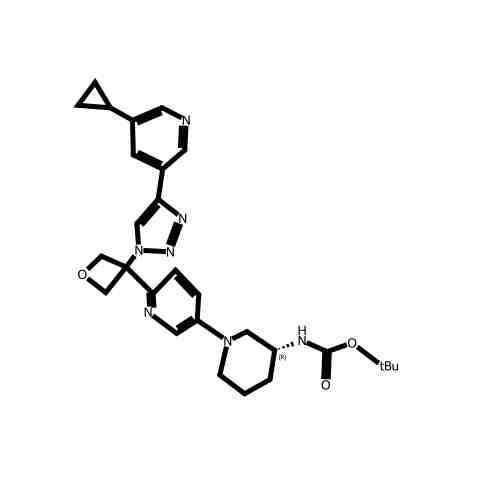 CC(C)(C)OC(=O)N[C@@H]1CCCN(c2ccc(C3(n4cc(-c5cncc(C6CC6)c5)nn4)COC3)nc2)C1